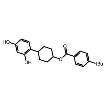 CC(C)(C)c1ccc(C(=O)OC2CCC(c3ccc(O)cc3O)CC2)cc1